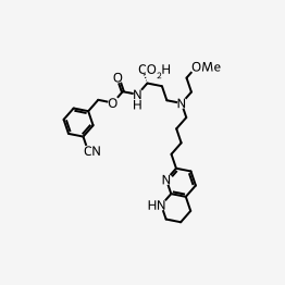 COCCN(CCCCc1ccc2c(n1)NCCC2)CC[C@H](NC(=O)OCc1cccc(C#N)c1)C(=O)O